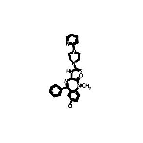 CN1C(=O)C(NC(=S)N2CCN(c3ccccn3)CC2)N=C(c2ccccc2)c2cc(Cl)ccc21